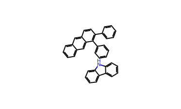 c1ccc(-c2ccc3cc4ccccc4cc3c2-c2ccccc2)cc1.c1ccc2c(c1)[nH]c1ccccc12